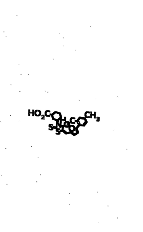 Cc1ccc(-c2ccc(C=C3SC(=S)N(C4CCCC(C(=O)O)C4)C3=O)o2)c(C)c1